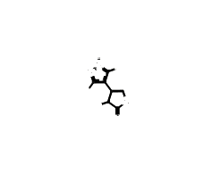 Cn1nc(Br)c(C2CNC(=S)C2C(=O)O)c1Cl